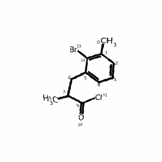 Cc1cccc(CC(C)C(=O)Cl)c1Br